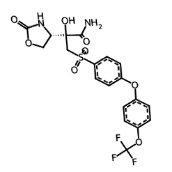 NC(=O)C(O)(CS(=O)(=O)c1ccc(Oc2ccc(OC(F)(F)F)cc2)cc1)[C@@H]1COC(=O)N1